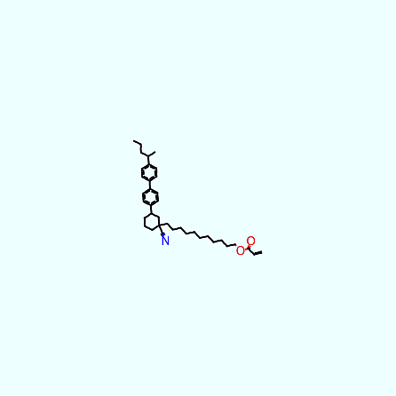 C=CC(=O)OCCCCCCCCCCCC1(C#N)CCCC(c2ccc(-c3ccc(C(C)CCC)cc3)cc2)C1